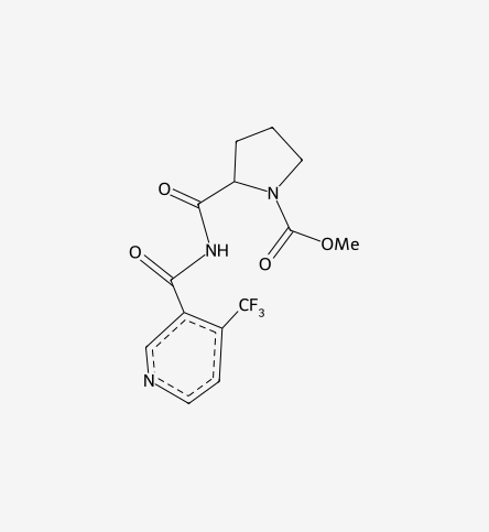 COC(=O)N1CCCC1C(=O)NC(=O)c1cnccc1C(F)(F)F